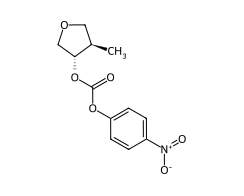 C[C@@H]1COC[C@H]1OC(=O)Oc1ccc([N+](=O)[O-])cc1